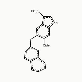 COc1cc2[nH]cc(C(=O)O)c2cc1Cc1ccc2ccccc2c1